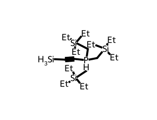 CC[Si](CC)(CC)C[PH](C#C[SiH3])(C[Si](CC)(CC)CC)C[Si](CC)(CC)CC